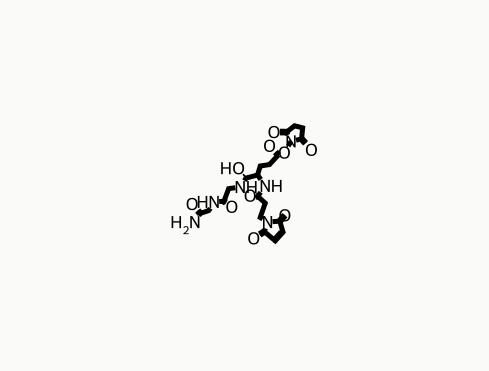 NC(=O)CNC(=O)CN[C@H](O)C(CCC(=O)ON1C(=O)CCC1=O)NC(=O)CCN1C(=O)C=CC1=O